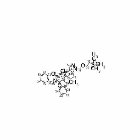 Cc1cc2c(cnn2COCC[Si](C)(C)C)cc1C1(Cc2ccccc2)C(=O)N(Cc2ccccc2)C(=O)C1C